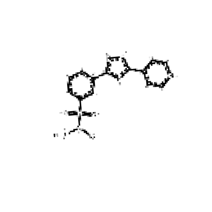 CCN(C(=O)O)S(=O)(=O)c1cccc(-c2noc(-c3ccncc3)n2)c1